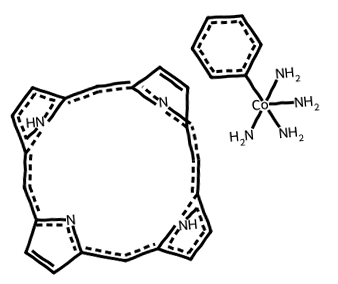 C1=Cc2cc3ccc(cc4nc(cc5ccc(cc1n2)[nH]5)C=C4)[nH]3.[NH2][Co]([NH2])([NH2])([NH2])[c]1ccccc1